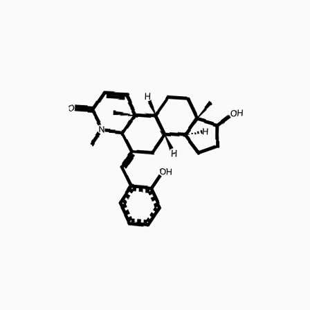 CN1C(=O)C=C[C@@]2(C)C1C(=Cc1ccccc1O)C[C@@H]1[C@H]2CC[C@]2(C)C(O)CC[C@@H]12